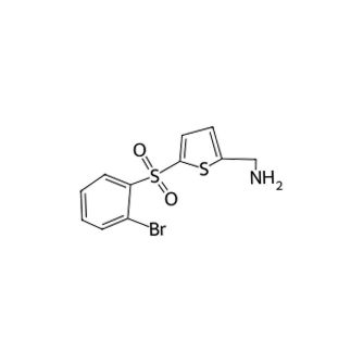 NCc1ccc(S(=O)(=O)c2ccccc2Br)s1